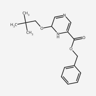 CC(C)(C)COC1C=NC=C(C(=O)OCc2ccccc2)N1